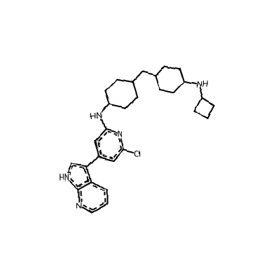 Clc1cc(-c2c[nH]c3ncccc23)cc(NC2CCC(CC3CCC(NC4CCC4)CC3)CC2)n1